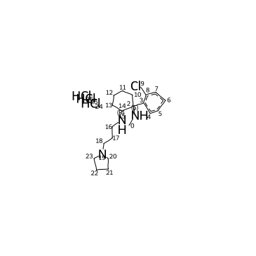 CN[C@]1(c2ccccc2Cl)CCCC[C@H]1NCCCN1CCCC1.Cl.Cl.Cl